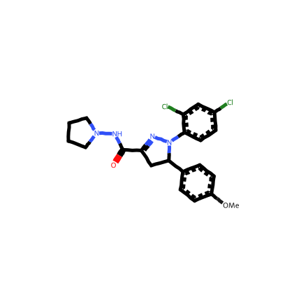 COc1ccc(C2CC(C(=O)NN3CCCC3)=NN2c2ccc(Cl)cc2Cl)cc1